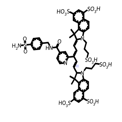 CC1(C)C(=CC=C(/C=C/C2N(CCCS(=O)(=O)O)c3ccc4c(S(=O)(=O)O)cc(S(=O)(=O)O)cc4c3C2(C)C)c2cc(C(=O)NCc3ccc(S(N)(=O)=O)cc3)ccn2)N(CCCS(=O)(=O)O)c2ccc3c(S(=O)(=O)O)cc(S(=O)(=O)O)cc3c21